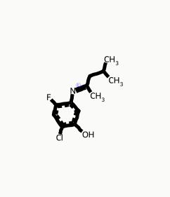 C/C(CC(C)C)=N\c1cc(O)c(Cl)cc1F